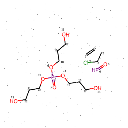 C=C.CCCl.O=P.O=P(OCCCO)(OCCCO)OCCCO